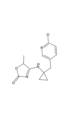 CC1OC(=O)N=C1NC1(Cc2ccc(Cl)nc2)CC1